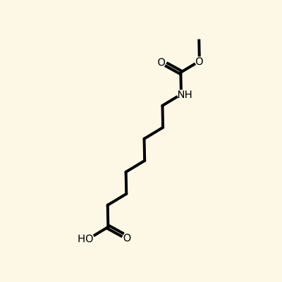 COC(=O)NCCCCCCCC(=O)O